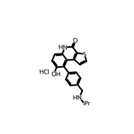 CC(C)NCc1ccc(-c2c(O)ccc3[nH]c(=O)c4sccc4c23)cc1.Cl